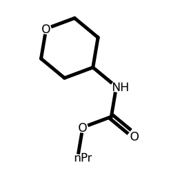 CCCOC(=O)NC1CCOCC1